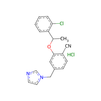 CC(Oc1cc(Cn2ccnc2)ccc1C#N)c1ccccc1Cl.Cl